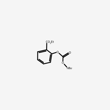 CCC[CH]OC(=O)Oc1ccccc1C(=O)OCC